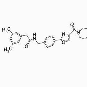 Cc1cc(C)cc(CC(=O)NCc2ccc(-c3nc(C(=O)N4CCCCC4)co3)cc2)c1